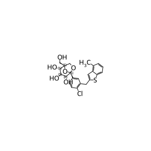 Cc1cccc2sc(Cc3cc([C@]45OC[C@](CO)(O4)[C@@H](O)[C@H](O)[C@H]5O)ccc3Cl)cc12